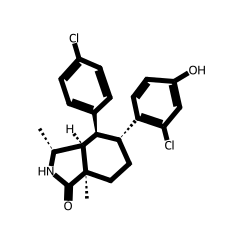 C[C@H]1NC(=O)[C@]2(C)CC[C@@H](c3ccc(O)cc3Cl)[C@H](c3ccc(Cl)cc3)[C@H]12